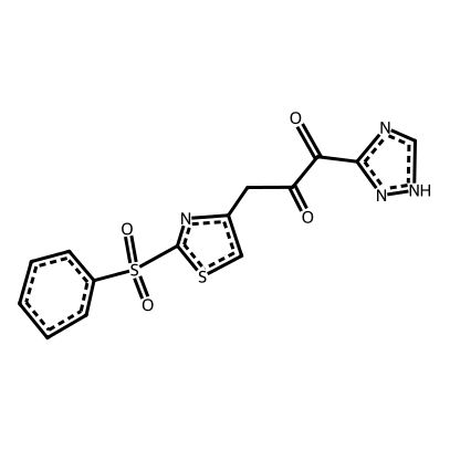 O=C(Cc1csc(S(=O)(=O)c2ccccc2)n1)C(=O)c1nc[nH]n1